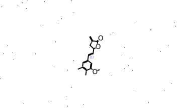 C=C1CC(/C=C/c2cc(C)c(C)c(OC)c2)OC1=O